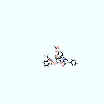 CC(=O)Oc1ccc2c3c1O[C@H]1[C@@H](NS(=O)(=O)Cc4ccccc4CC(C)C)CC[C@@]4(O)[C@@H](C2)N(CCc2ccccc2)CC[C@]314